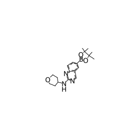 CC1(C)OB(c2ccc3nc(NC4CCOCC4)ncc3c2)OC1(C)C